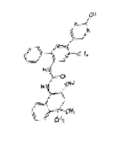 Cc1cc(NC(=O)N[C@@H]2c3ccccc3C(C)(C)C[C@H]2O)c(-c2ccccc2)nc1-c1cnc(O)nc1